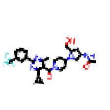 CC(=O)NC1CC(CO)N(C2CCN(C(=O)c3c(C)nc(-c4cccc(C(F)(F)F)c4)nc3C3CC3)CC2)C1